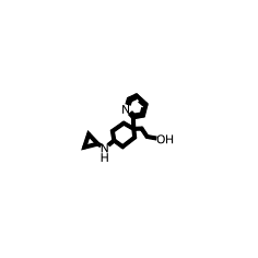 OCCC1(c2ccccn2)CCC(NC2CC2)CC1